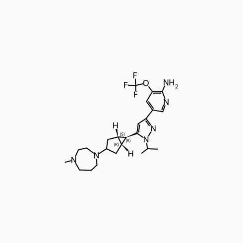 CC(C)n1nc(-c2cnc(N)c(OC(F)(F)F)c2)cc1[C@H]1[C@@H]2CC(N3CCCN(C)CC3)C[C@@H]21